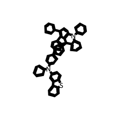 c1ccc(-c2ccc3c4c2-c2ccc(-c5ccc(N(c6ccccc6)c6ccc7sc8ccccc8c7c6)cc5)cc2C4(c2ccccc2)c2ccccc2N3c2ccccc2)cc1